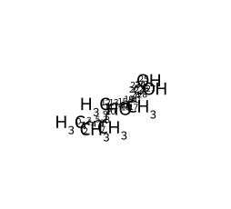 CC(C)=CCCC(C)=CCCC(C)=CCCC(C)(O)CCc1ccc(O)c(O)c1